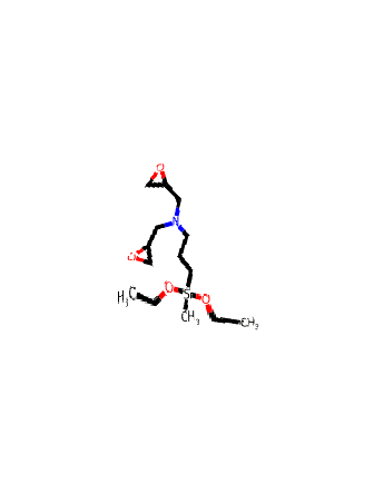 CCO[Si](C)(CCCN(CC1CO1)CC1CO1)OCC